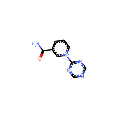 NC(=O)c1ccc[n+](-c2ncncn2)c1